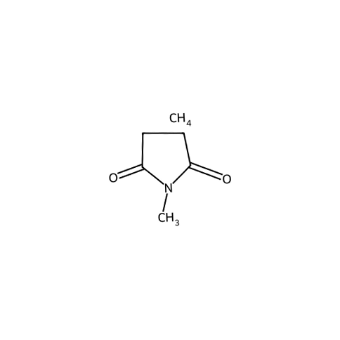 C.CN1C(=O)CCC1=O